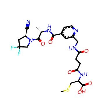 CSCC(NC(=O)CCC(=O)NCc1cc(C(=O)N[C@@H](C)C(=O)N2CC(F)(F)C[C@H]2C#N)ccn1)C(=O)O